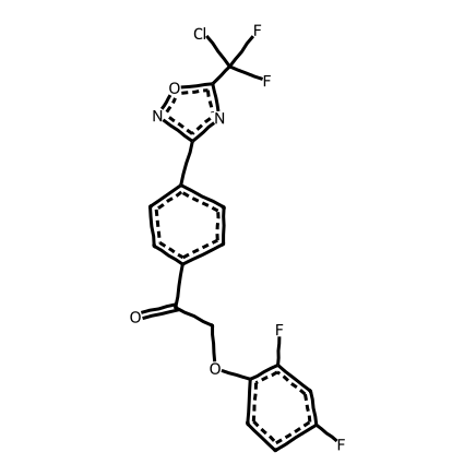 O=C(COc1ccc(F)cc1F)c1ccc(-c2noc(C(F)(F)Cl)n2)cc1